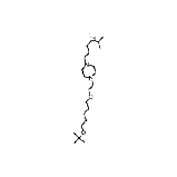 CC(C)[C@@H](C)CCCN1CCN(CCOCCCCCOC(C)(C)C)CC1